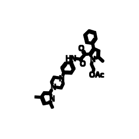 CC(=O)OCCn1c(C)cc(-c2ccccc2)c1C(=O)C(=O)Nc1ccc(N2CCN(c3cc(C)cc(C)n3)CC2)cc1